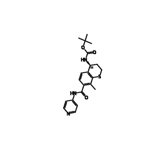 Cc1c(C(=O)Nc2ccncc2)ccc2c1SCC[C@@H]2NC(=O)OC(C)(C)C